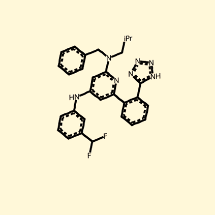 CC(C)CN(Cc1ccccc1)c1cc(Nc2cccc(C(F)F)c2)cc(-c2ccccc2-c2nnn[nH]2)n1